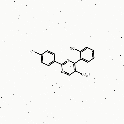 CCCc1ccc(-c2ncc(C(=O)O)c(-c3ccccc3C#N)n2)cc1